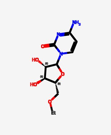 CCOC[C@H]1OC(n2ccc(N)nc2=O)[C@@H](O)[C@@H]1O